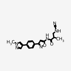 CC(CNC#N)C(=O)Nc1cc(-c2ccc(-c3cnn(C)c3)cc2)no1